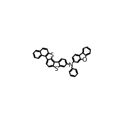 c1ccc(N(c2ccc3c(c2)oc2ccccc23)c2ccc3c(c2)sc2ccc4c(sc5ccc6ccccc6c54)c23)cc1